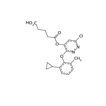 Cc1cccc(C2CC2)c1Oc1nnc(Cl)cc1OC(=O)CCCC(=O)O